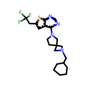 FC(F)(F)Cc1cc2c(N3CCC4(CN(CC5CCCCC5)C4)C3)ncnc2s1